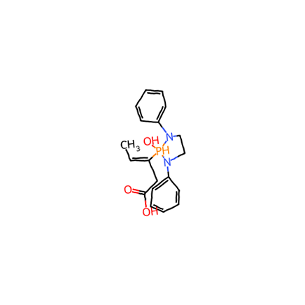 C/C=C(/CC(=O)O)[PH]1(O)N(c2ccccc2)CCN1c1ccccc1